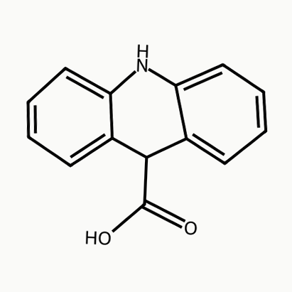 O=C(O)C1c2ccccc2Nc2ccccc21